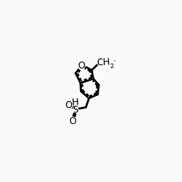 [CH2]c1occ2cc(C[SH](=O)=O)ccc12